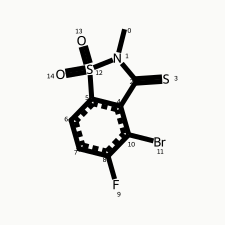 CN1C(=S)c2c(ccc(F)c2Br)S1(=O)=O